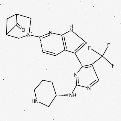 O=C1C2CC1CN(c1ccc3c(-c4nc(N[C@H]5CCCNC5)ncc4C(F)(F)F)c[nH]c3n1)C2